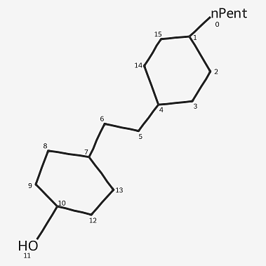 CCCCCC1CCC(CCC2CCC(O)CC2)CC1